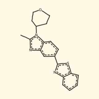 Cc1nc2cc(-c3nc4ccccc4s3)ccc2n1C1CCOCC1